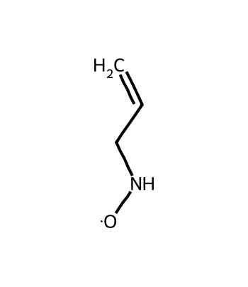 C=CCN[O]